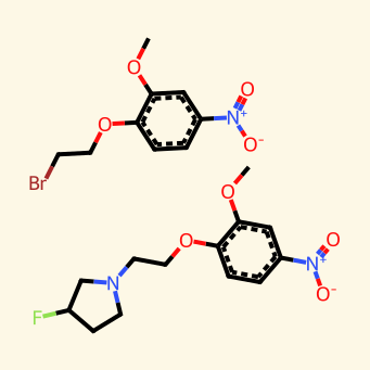 COc1cc([N+](=O)[O-])ccc1OCCBr.COc1cc([N+](=O)[O-])ccc1OCCN1CCC(F)C1